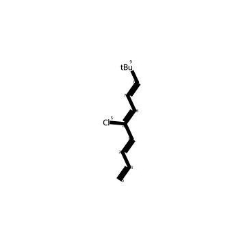 C=C/C=C/C(Cl)=C/C=C/C(C)(C)C